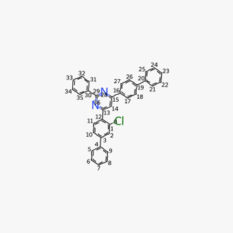 Clc1cc(-c2ccccc2)ccc1-c1cc(-c2ccc(-c3ccccc3)cc2)nc(-c2ccccc2)n1